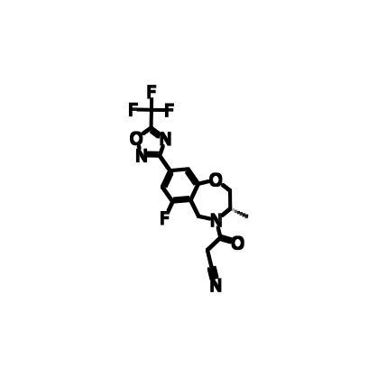 C[C@H]1COc2cc(-c3noc(C(F)(F)F)n3)cc(F)c2CN1C(=O)CC#N